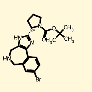 CC(C)(C)OC(=O)N1CCC[C@H]1c1nc2c([nH]1)CNCc1cc(Br)ccc1-2